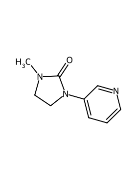 CN1CCN(c2cccnc2)C1=O